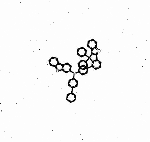 c1ccc(-c2ccc(N(c3ccc(-c4cccc5c4C(c4ccccc4)(c4ccccc4)c4c-5oc5ccccc45)cc3)c3ccc4c(c3)oc3ccccc34)cc2)cc1